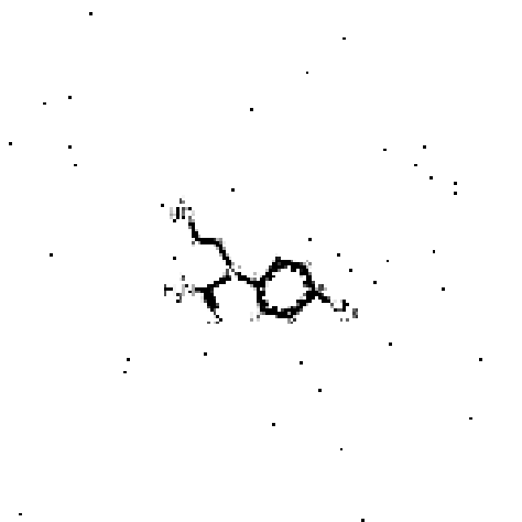 NC(=S)N(CCO)c1ccc(C(F)(F)F)cc1